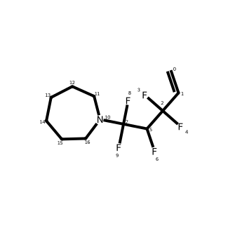 C=CC(F)(F)C(F)C(F)(F)N1CCCCCC1